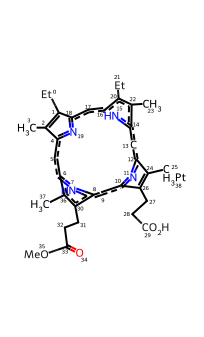 CCC1=C(C)c2cc3[nH]c(cc4nc(cc5[nH]c(cc1n2)c(CC)c5C)C(C)=C4CCC(=O)O)c(CCC(=O)OC)c3C.[Pt]